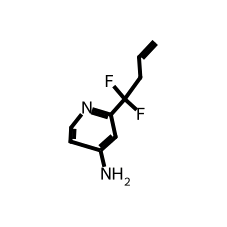 C=CCC(F)(F)c1cc(N)ccn1